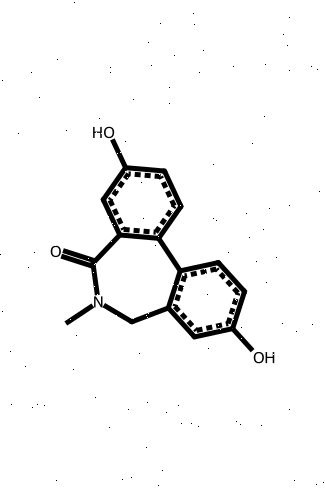 CN1Cc2cc(O)ccc2-c2ccc(O)cc2C1=O